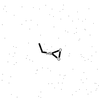 CC[SiH]1OO1